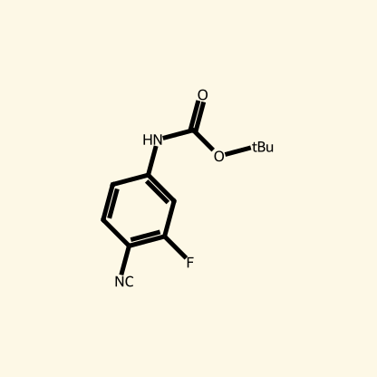 [C-]#[N+]c1ccc(NC(=O)OC(C)(C)C)cc1F